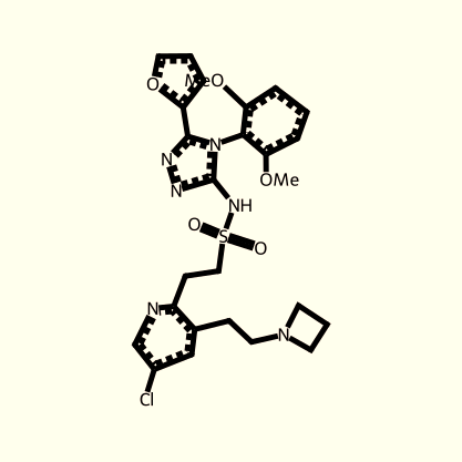 COc1cccc(OC)c1-n1c(NS(=O)(=O)CCc2ncc(Cl)cc2CCN2CCC2)nnc1-c1ccco1